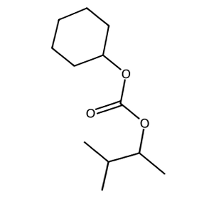 CC(C)C(C)OC(=O)OC1CCCCC1